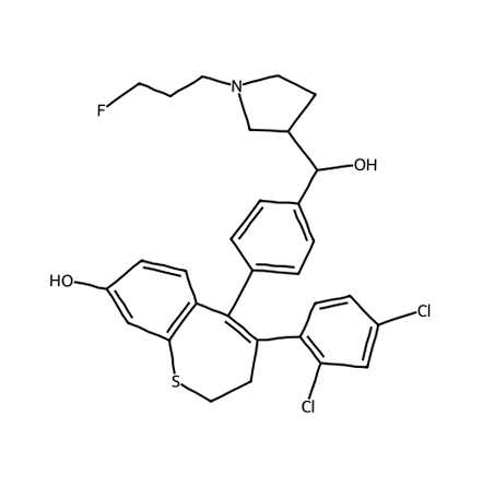 Oc1ccc2c(c1)SCCC(c1ccc(Cl)cc1Cl)=C2c1ccc(C(O)C2CCN(CCCF)C2)cc1